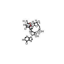 Nc1nc2c(ncn2[C@@H]2O[C@@]34CO[C@H]3[C@H]2OP(=O)(O)OC[C@H]2O[C@@H](n3cnc5c(=O)[nH]cnc53)[C@H](O)[C@@H]2OP(=O)(O)OC4)c(=O)[nH]1